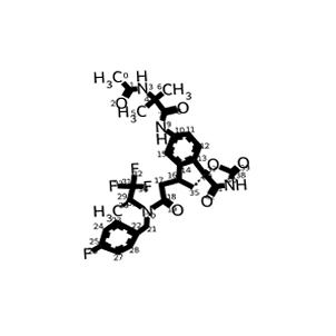 CC(=O)NC(C)(C)C(=O)Nc1ccc2c(c1)C(CC(=O)N(Cc1ccc(F)cc1)[C@@H](C)C(F)(F)F)C[C@@]21OC(=O)NC1=O